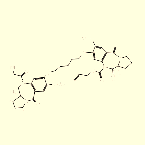 C=CCOC(=O)N1c2cc(OCCCCCOc3cc4c(cc3OC)C(=O)N3CCC[C@H]3CN4C(=O)CN)c(OC)cc2C(=O)N2CCC[C@H]2C1O